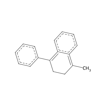 CC1=c2ccccc2=C(c2ccccc2)CC1